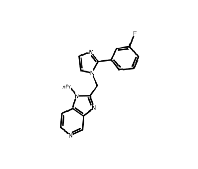 CCCn1c(Cn2ccnc2-c2cccc(F)c2)nc2cnccc21